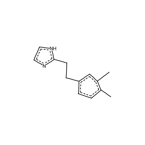 Cc1ccc(CCc2ncc[nH]2)cc1C